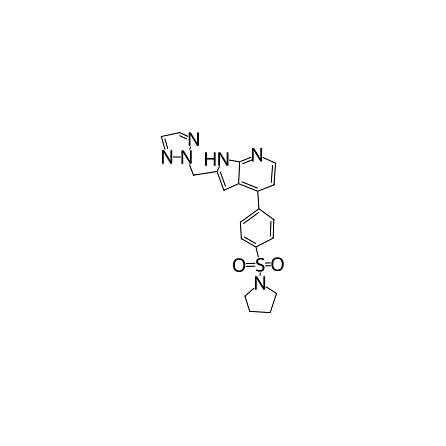 O=S(=O)(c1ccc(-c2ccnc3[nH]c(Cn4nccn4)cc23)cc1)N1CCCC1